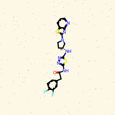 O=C(Cc1ccc(F)c(F)c1)Nc1nnc(N[C@@H]2CCN(c3nc4ncccc4s3)C2)s1